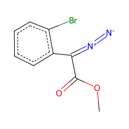 COC(=O)C(=[N+]=[N-])c1ccccc1Br